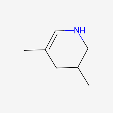 CC1=CNCC(C)C1